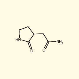 NC(=O)CC1CCNC1=O